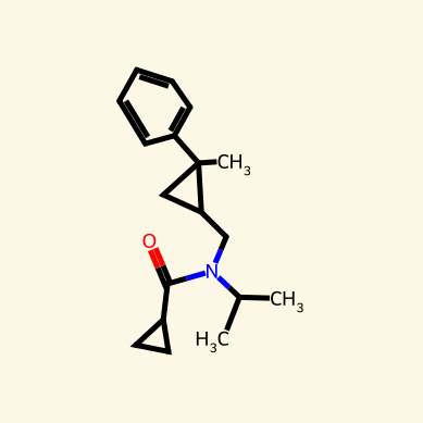 CC(C)N(CC1CC1(C)c1ccccc1)C(=O)C1CC1